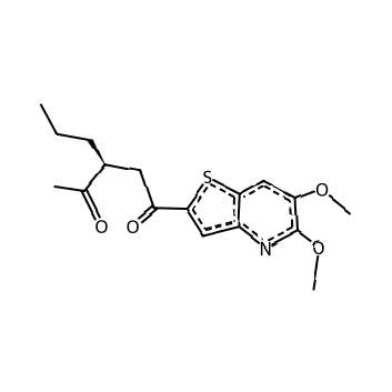 CCC[C@@H](CC(=O)c1cc2nc(OC)c(OC)cc2s1)C(C)=O